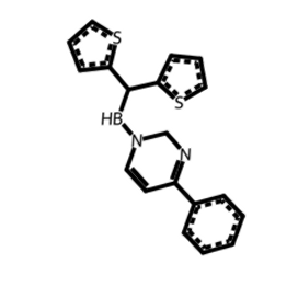 B(C(c1cccs1)c1cccs1)N1C=CC(c2ccccc2)=NC1